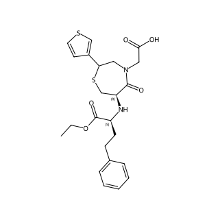 CCOC(=O)[C@H](CCc1ccccc1)N[C@H]1CSC(c2ccsc2)CN(CC(=O)O)C1=O